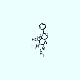 COC1OC2COC(c3ccccc3)O[C@H]2C(O)[C@@H]1N